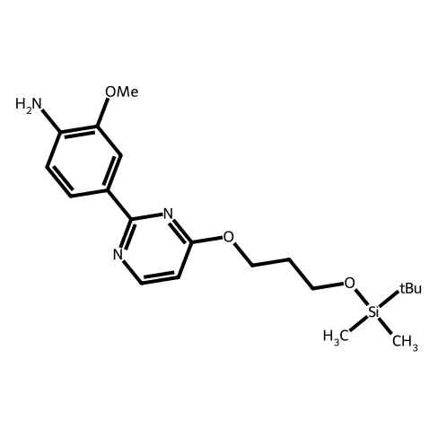 COc1cc(-c2nccc(OCCCO[Si](C)(C)C(C)(C)C)n2)ccc1N